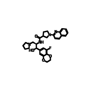 O=C(N[C@H](CN1CCCC1)[C@H](O)c1cc(F)c2c(c1)OCCO2)C1CCN(c2ccc3ccccc3n2)C1